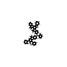 Cc1ccccc1-c1cc2c(c3c1COc1ccccc1-3)-c1ccc(N(c3ccc4c(c3)C(C)(C)c3c5c(c6c(oc7ccccc76)c3-4)-c3ccccc3C5(C)C)c3ccccc3C)cc1C2(C)C